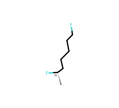 C[C@H](F)CCCCCF